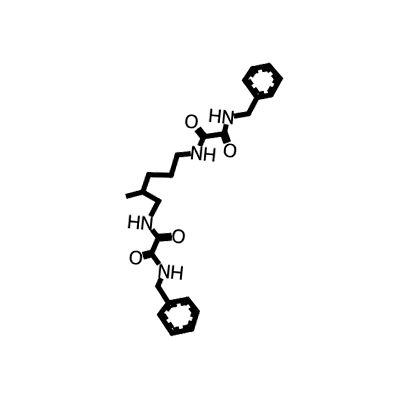 CC(CCCNC(=O)C(=O)NCc1ccccc1)CNC(=O)C(=O)NCc1ccccc1